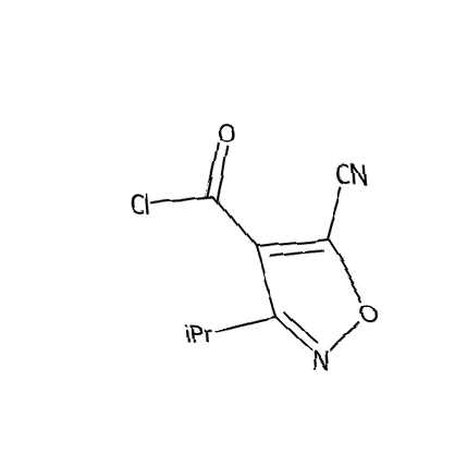 CC(C)c1noc(C#N)c1C(=O)Cl